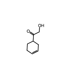 O=C(CO)C1CC=CCC1